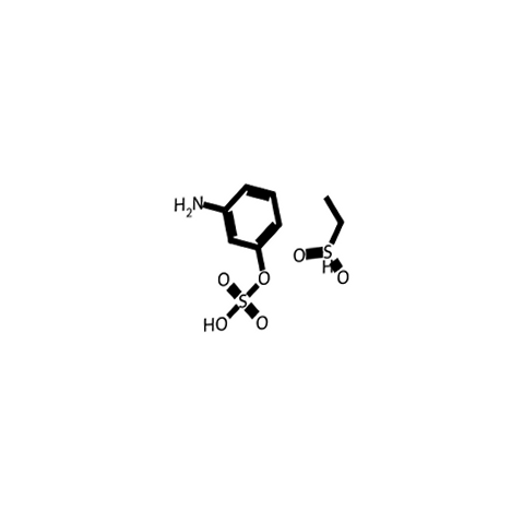 CC[SH](=O)=O.Nc1cccc(OS(=O)(=O)O)c1